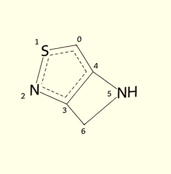 c1snc2c1NC2